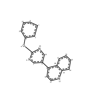 c1ccc(Oc2ncc(-c3ccnc4ccccc34)cn2)cc1